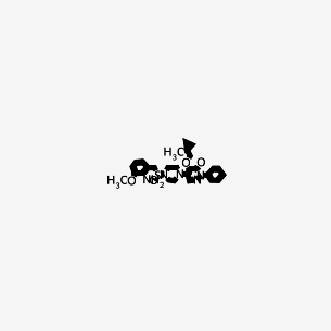 COc1cccc(C[S+]([O-])N2CCN(c3cnn(-c4ccccc4)c(=O)c3OCC3(C)CC3)CC2)c1N